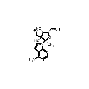 C[C@@]1(n2ccc3c(N)ncnc32)O[C@H](CO)[C@@H](O)[C@]1(O)CO